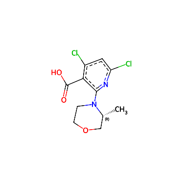 C[C@@H]1COCCN1c1nc(Cl)cc(Cl)c1C(=O)O